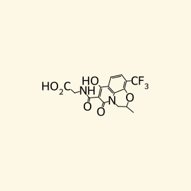 CC1Cn2c(=O)c(C(=O)NCC(=O)O)c(O)c3ccc(C(F)(F)F)c(c32)O1